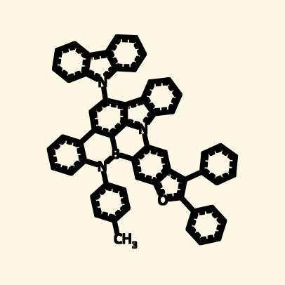 Cc1ccc(N2B3c4cc5oc(-c6ccccc6)c(-c6ccccc6)c5cc4-n4c5ccccc5c5c(-n6c7ccccc7c7ccccc76)cc(c3c54)-c3ccccc32)cc1